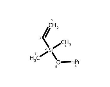 C=C[Si](C)(C)OCCC